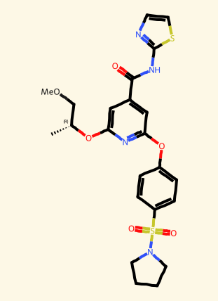 COC[C@@H](C)Oc1cc(C(=O)Nc2nccs2)cc(Oc2ccc(S(=O)(=O)N3CCCC3)cc2)n1